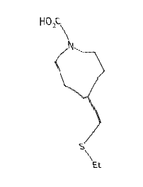 CCSCC1CCN(C(=O)O)CC1